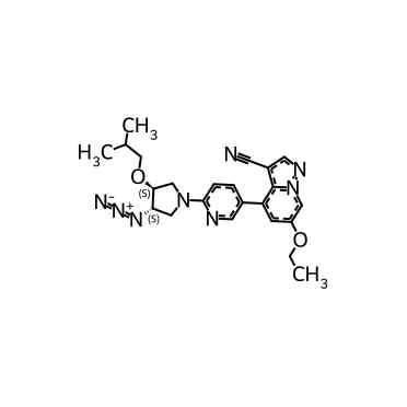 CCOc1cc(-c2ccc(N3C[C@H](N=[N+]=[N-])[C@@H](OCC(C)C)C3)nc2)c2c(C#N)cnn2c1